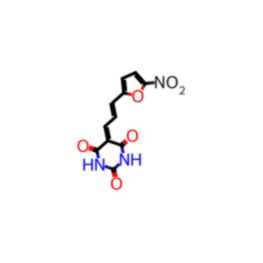 O=C1NC(=O)C(=C/C=C/c2ccc([N+](=O)[O-])o2)C(=O)N1